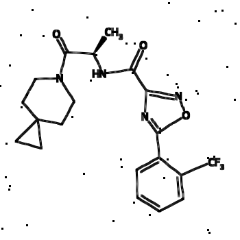 C[C@@H](NC(=O)c1noc(-c2ccccc2C(F)(F)F)n1)C(=O)N1CCC2(CC1)CC2